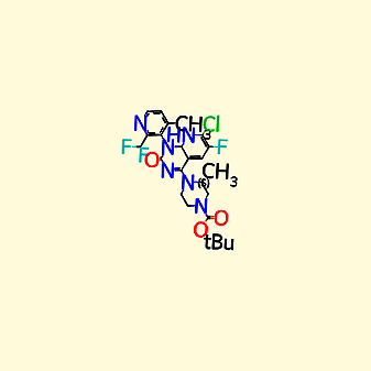 Cc1ccnc(C(F)F)c1N1C(=O)N=C(N2CCN(C(=O)OC(C)(C)C)C[C@@H]2C)C2=CC(F)=C(Cl)NC21